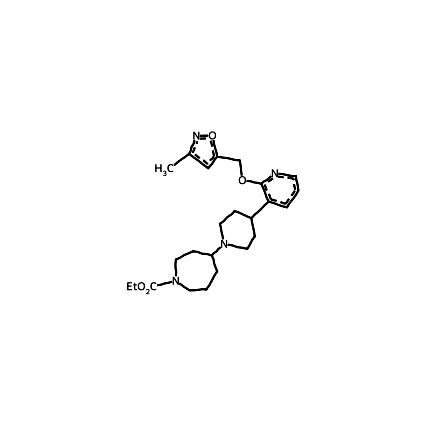 CCOC(=O)N1CCCC(N2CCC(c3cccnc3OCc3cc(C)no3)CC2)CC1